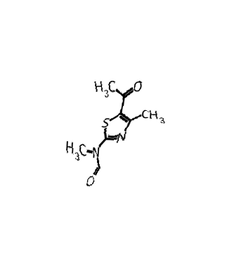 CC(=O)c1sc(N(C)C=O)nc1C